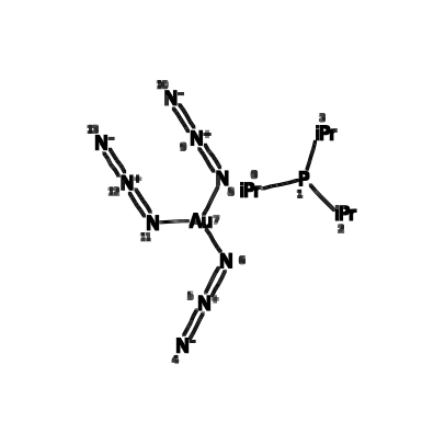 CC(C)P(C(C)C)C(C)C.[N-]=[N+]=[N][Au]([N]=[N+]=[N-])[N]=[N+]=[N-]